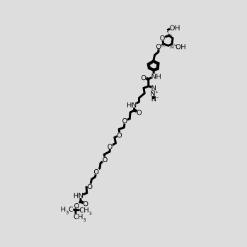 CC(C)(C)OC(=O)NCCOCCOCCOCCOCCOCCOCCC(=O)NCCCCC(N=[N+]=[N-])C(=O)Nc1ccc(CCO[C@H]2C[C@@H](O)C[C@@H](CO)O2)cc1